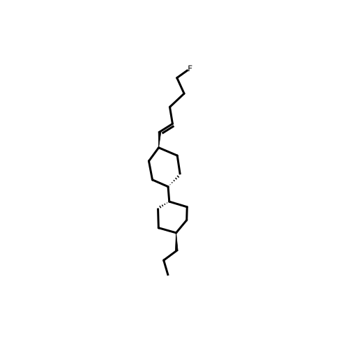 CCC[C@H]1CC[C@H]([C@H]2CC[C@H](C=CCCCF)CC2)CC1